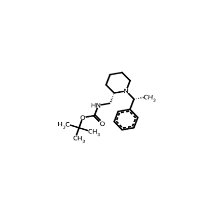 C[C@H](c1ccccc1)N1CCCC[C@H]1CNC(=O)OC(C)(C)C